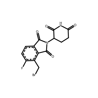 O=C1CCC(N2C(=O)c3ccc(F)c(CBr)c3C2=O)C(=O)N1